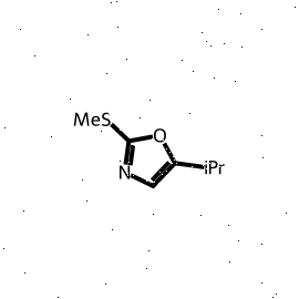 CSc1ncc(C(C)C)o1